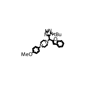 COc1ccc(N2CCN(C(c3cc4ccccc4o3)c3nnnn3C(C)(C)C)CC2)cc1